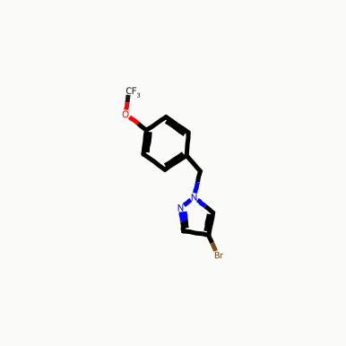 FC(F)(F)Oc1ccc(Cn2cc(Br)cn2)cc1